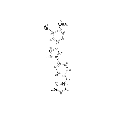 CC(C)COc1ccc(-c2nc(-c3ccc(Cn4ccnc4)cc3)no2)cc1Br